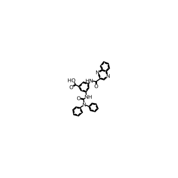 O=C(O)c1cc(NC(=O)c2cnc3ccccc3n2)cc(NC(=O)N(c2ccccc2)c2ccccc2)c1